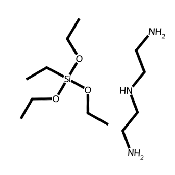 CCO[Si](CC)(OCC)OCC.NCCNCCN